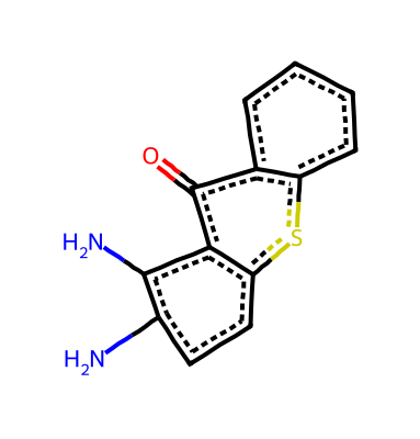 Nc1ccc2sc3ccccc3c(=O)c2c1N